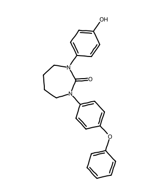 O=C1N(c2ccc(O)cc2)CCCCN1c1ccc(Oc2ccccc2)cc1